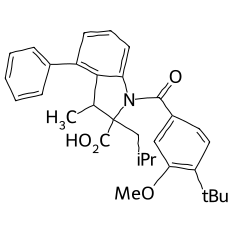 COc1cc(C(=O)N2c3cccc(-c4ccccc4)c3C(C)C2(CC(C)C)C(=O)O)ccc1C(C)(C)C